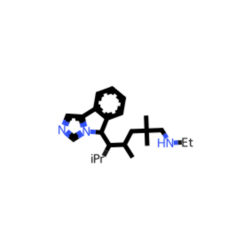 CCNCC(C)(C)CC(C)C(C(C)C)C1c2ccccc2-c2cncn21